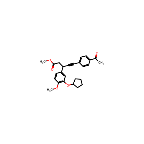 COC(=O)CC(C#Cc1ccc(C(C)=O)cc1)c1ccc(OC)c(OC2CCCC2)c1